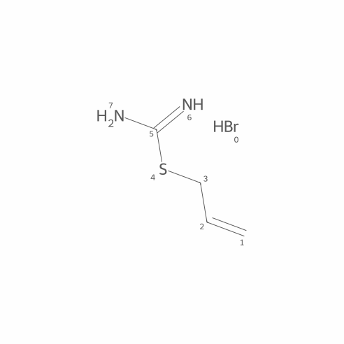 Br.C=CCSC(=N)N